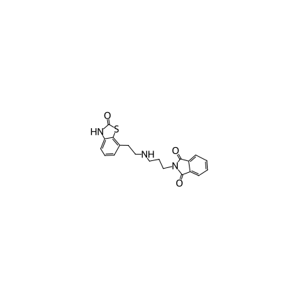 O=C1c2ccccc2C(=O)N1CCCNCCc1cccc2[nH]c(=O)sc12